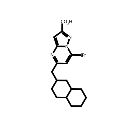 CC(C)c1cc(CC2CCC3CCCCC3C2)nc2cc(C(=O)O)nn12